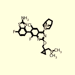 CN(C)CC1(COc2nc(N3CC4CCC(C3)N4)c3cc(Cl)c(-c4ccc(F)c5sc(N)nc45)c(F)c3n2)CC1